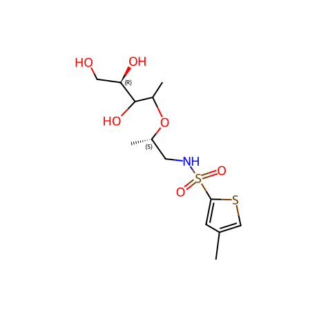 Cc1csc(S(=O)(=O)NC[C@H](C)OC(C)C(O)[C@H](O)CO)c1